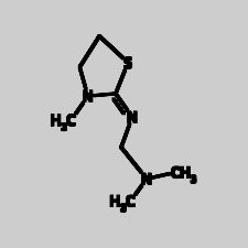 CN(C)CN=C1SCCN1C